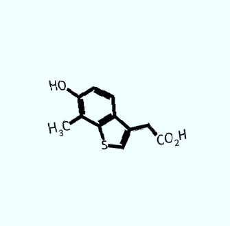 Cc1c(O)ccc2c(CC(=O)O)csc12